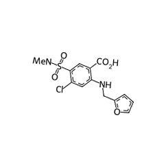 CNS(=O)(=O)c1cc(C(=O)O)c(NCc2ccco2)cc1Cl